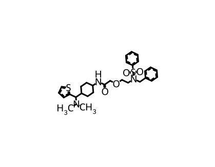 CN(C)C(c1cccs1)C1CCC(NC(=O)COCCN(Cc2ccccc2)S(=O)(=O)c2ccccc2)CC1